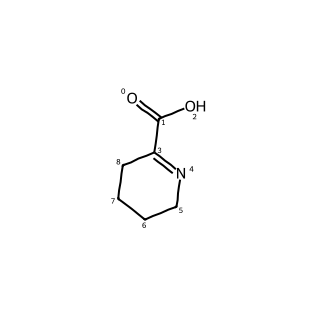 O=C(O)C1=NCCCC1